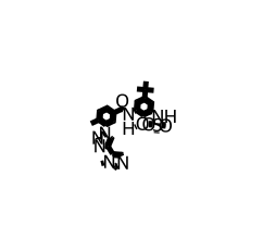 COc1c(NC(=O)c2ccc(C)c(-n3cc(-c4cncn4C)nn3)c2)cc(C(C)(C)C)cc1NS(C)(=O)=O